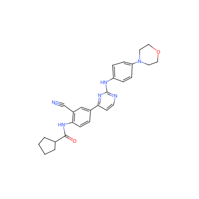 N#Cc1cc(-c2ccnc(Nc3ccc(N4CCOCC4)cc3)n2)ccc1NC(=O)C1CCCC1